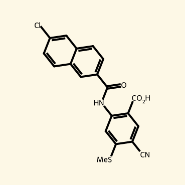 CSc1cc(NC(=O)c2ccc3cc(Cl)ccc3c2)c(C(=O)O)cc1C#N